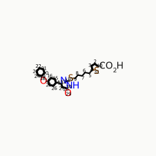 O=C(O)c1ccc(CCCCCSc2nc(-c3ccc(Oc4ccccc4)cc3)cc(=O)[nH]2)s1